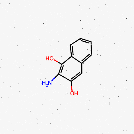 Nc1c(O)cc2ccccc2c1O